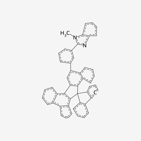 Cn1c(-c2cccc(-c3cc4c(c5ccccc35)C3(c5ccccc5-c5ccccc53)c3c-4c4ccccc4c4ccccc34)c2)nc2ccccc21